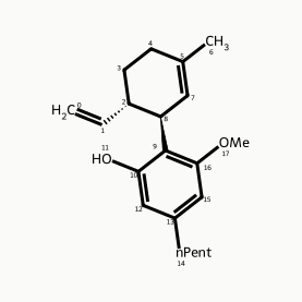 C=C[C@@H]1CCC(C)=C[C@H]1c1c(O)cc(CCCCC)cc1OC